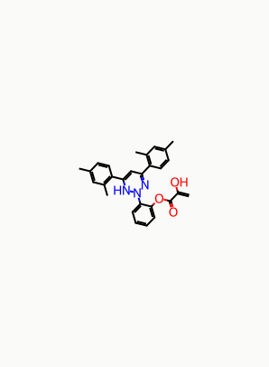 C=C(O)C(=O)Oc1ccccc1N1N=C(c2ccc(C)cc2C)C=C(c2ccc(C)cc2C)N1